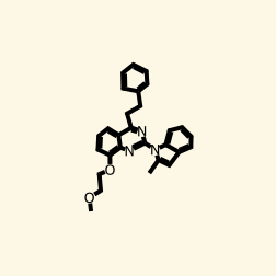 COCCOc1cccc2c(CCc3ccccc3)nc(-n3c(C)cc4ccccc43)nc12